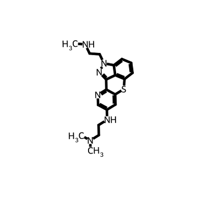 CNCCn1nc2c3c(cccc31)Sc1cc(NCCN(C)C)cnc1-2